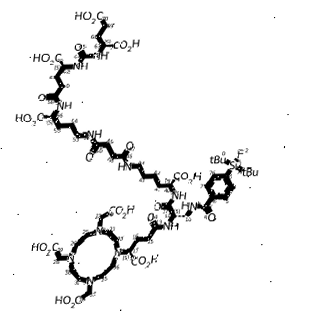 CC(C)(C)[Si](F)(c1ccc(C(=O)NC[C@H](NC(=O)CC[C@@H](C(=O)O)N2CCN(CC(=O)O)CCN(CC(=O)O)CCN(CC(=O)O)CC2)C(=O)N[C@@H](CCCCNC(=O)CCC(=O)NCCC[C@H](NC(=O)CC[C@H](NC(=O)N[C@@H](CCC(=O)O)C(=O)O)C(=O)O)C(=O)O)C(=O)O)cc1)C(C)(C)C